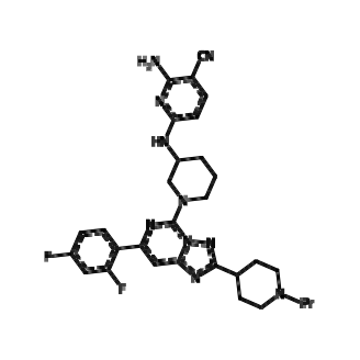 CC(C)N1CCC(c2nc3cc(-c4ccc(F)cc4F)nc(N4CCCC(Nc5ccc(C#N)c(N)n5)C4)n3n2)CC1